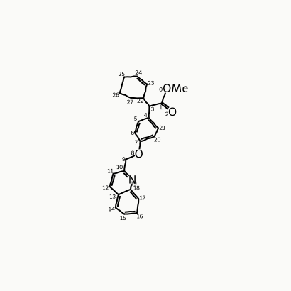 COC(=O)C(c1ccc(OCc2ccc3ccccc3n2)cc1)C1C=CCCC1